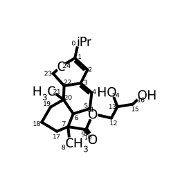 CC(C)C1=CC2=CCC3C(C)(C(=O)OCC(O)CO)CCCC3(C)C2CC1